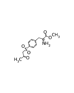 COC(=O)[C@@H](N)Cc1ccc(S(=O)(=O)CC(C)=O)cc1